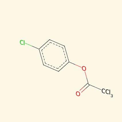 O=C(Oc1ccc(Cl)cc1)C(Cl)(Cl)Cl